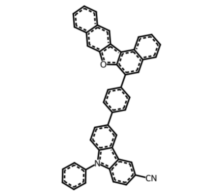 N#Cc1ccc2c(c1)c1cc(-c3ccc(-c4cc5ccccc5c5c4oc4cc6ccccc6cc45)cc3)ccc1n2-c1ccccc1